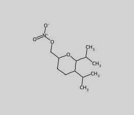 CC(C)C1CCC(CO[N+](=O)[O-])OC1C(C)C